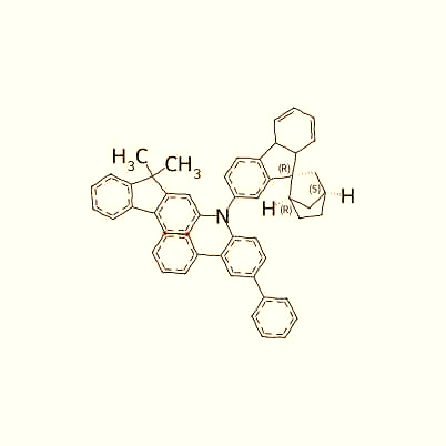 CC1(C)c2ccccc2-c2ccc(N(c3ccc4c(c3)[C@@]3(C[C@H]5CC[C@@H]3C5)C3C=CC=CC43)c3ccc(-c4ccccc4)cc3-c3ccccc3)cc21